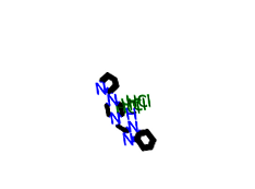 Cl.Cl.Cl.c1ccc(N2CCN(Cc3nc4ccccc4[nH]3)CC2)nc1